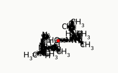 CCCc1nn(C)c2c(NCc3ccc(OC)c(Cl)c3)nc(CNCCCCCO)nc12.CCCc1nn(C)c2c(NCc3ccc(OC)c(Cl)c3)nc(CNCc3cccnc3)nc12